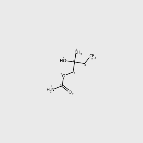 CC(O)(COC(N)=O)CC(F)(F)F